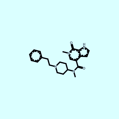 CN(C(=O)c1cn(C)c(=O)c2[nH]ccc12)C1CCN(CCc2ccccc2)CC1